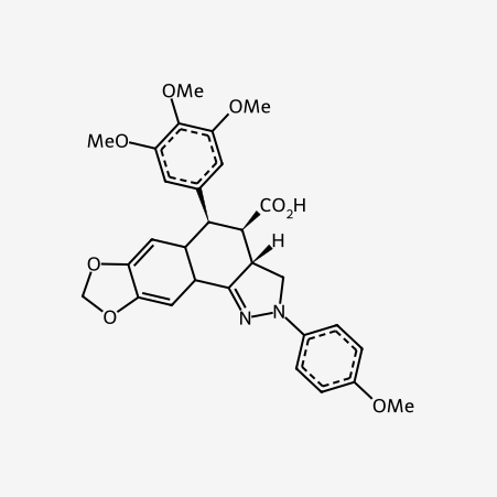 COc1ccc(N2C[C@@H]3C(=N2)C2C=C4OCOC4=CC2[C@@H](c2cc(OC)c(OC)c(OC)c2)[C@H]3C(=O)O)cc1